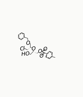 Cc1ccc(S(=O)(=O)OC[C@H](CO)O[C@H](CCl)COCc2ccccc2)cc1